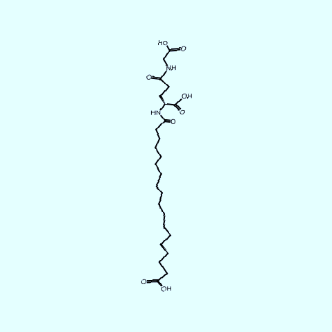 O=C(O)CCCCCCCCCCCCCCCCC(=O)N[C@@H](CCC(=O)NCC(=O)O)C(=O)O